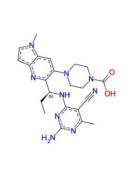 CC[C@H](Nc1nc(N)nc(C)c1C#N)c1nc2ccn(C)c2cc1N1CCN(C(=O)O)CC1